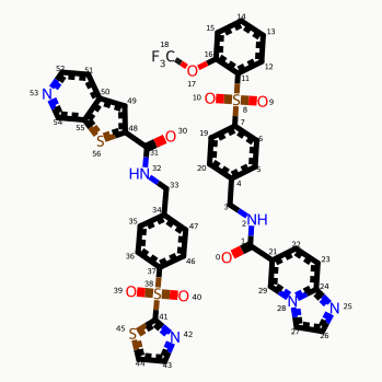 O=C(NCc1ccc(S(=O)(=O)c2ccccc2OC(F)(F)F)cc1)c1ccc2nccn2c1.O=C(NCc1ccc(S(=O)(=O)c2nccs2)cc1)c1cc2ccncc2s1